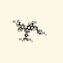 C#C/C(=C(C)\C=C/CN/N=C\C)c1c(C)cc2c(N3CCN(C(=O)C=C)[C@H](CC#N)C3)nc(N3CC(N(C)C)C3)nc2c1F